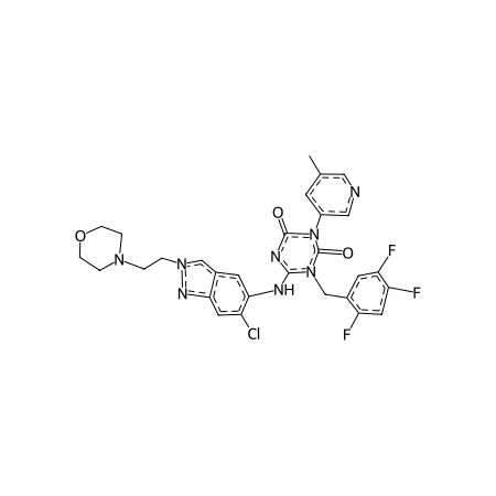 Cc1cncc(-n2c(=O)nc(Nc3cc4cn(CCN5CCOCC5)nc4cc3Cl)n(Cc3cc(F)c(F)cc3F)c2=O)c1